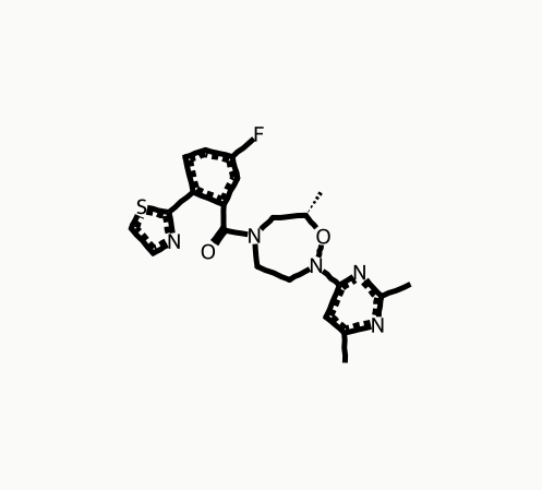 Cc1cc(N2CCN(C(=O)c3cc(F)ccc3-c3nccs3)C[C@H](C)O2)nc(C)n1